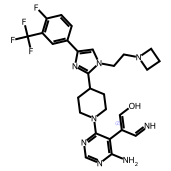 N=C/C(=C\O)c1c(N)ncnc1N1CCC(c2nc(-c3ccc(F)c(C(F)(F)F)c3)cn2CCN2CCC2)CC1